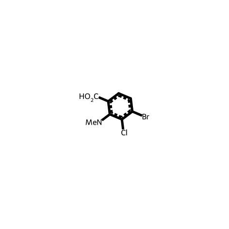 CNc1c(C(=O)O)ccc(Br)c1Cl